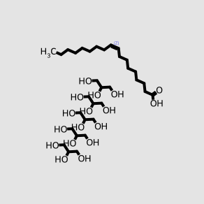 CCCCCCCC/C=C\CCCCCCCC(=O)O.OCC(O)CO.OCC(O)CO.OCC(O)CO.OCC(O)CO.OCC(O)CO